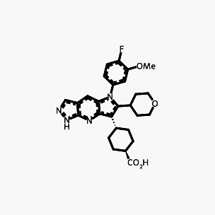 COc1cc(-n2c(C3CCOCC3)c([C@H]3CC[C@H](C(=O)O)CC3)c3nc4[nH]ncc4cc32)ccc1F